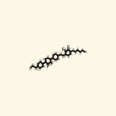 CCCCCCC1CCC(CCC2CCC(C3CCC(C4CCC(CCC)CC4)C(F)C3F)CC2)C(F)C1F